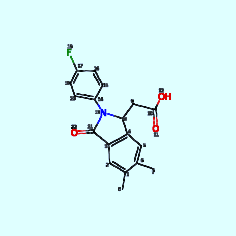 Cc1cc2c(cc1C)C(CC(=O)O)N(c1ccc(F)cc1)C2=O